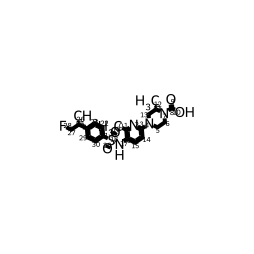 Cc1nc(N2CCN(C(=O)O)[C@@H](C)C2)ccc1NS(=O)(=O)c1ccc([C@H](C)CF)cc1